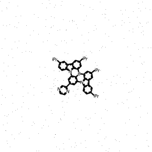 CC(C)c1ccc2c(c1)c1cc(C(C)C)cc3c1n2-c1cc(-c2cnccn2)cc2c1B3c1cc(C(C)C)cc3c4cc(C(C)C)ccc4n-2c13